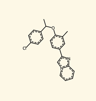 Cc1cc(-c2cn3ccccc3n2)ccc1OC(C)c1ccc(Cl)cc1